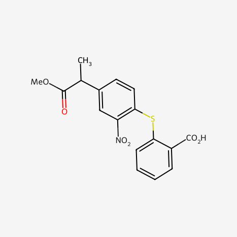 COC(=O)C(C)c1ccc(Sc2ccccc2C(=O)O)c([N+](=O)[O-])c1